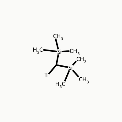 C[Si](C)(C)[CH]([Ti])[Si](C)(C)C